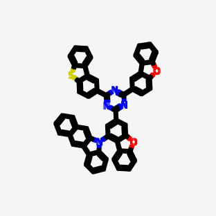 c1ccc2cc3c(cc2c1)c1ccccc1n3-c1cc(-c2nc(-c3ccc4oc5ccccc5c4c3)nc(-c3ccc4sc5ccccc5c4c3)n2)cc2oc3ccccc3c12